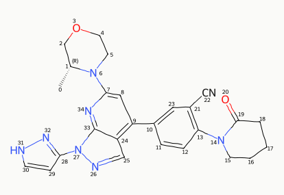 C[C@@H]1COCCN1c1cc(-c2ccc(N3CCCCC3=O)c(C#N)c2)c2cnn(-c3cc[nH]n3)c2n1